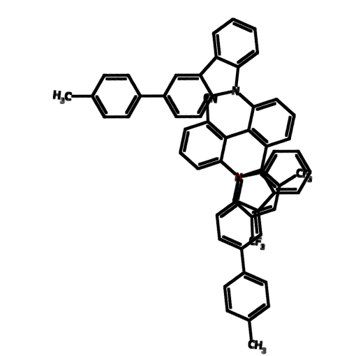 Cc1ccc(-c2ccc3c(c2)c2ccccc2n3-c2cccc(C#N)c2-c2c(-c3ccc(C(F)(F)F)cc3C(F)(F)F)cccc2-n2c3ccccc3c3cc(-c4ccc(C)cc4)ccc32)cc1